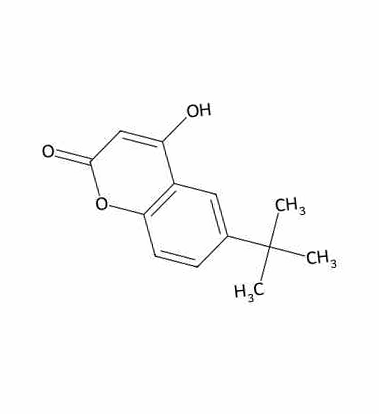 CC(C)(C)c1ccc2oc(=O)cc(O)c2c1